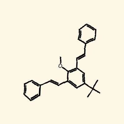 COc1c(C=Cc2ccccc2)cc(C(C)(C)C)cc1C=Cc1ccccc1